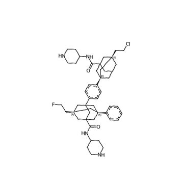 O=C(NC1CCNCC1)C12CC3C[C@@](CCCl)(C1)C[C@](c1ccc(C45CC6(C(=O)NC7CCNCC7)C[C@](CCF)(C4)C[C@@](c4ccccc4)(C6)C5)cc1)(C3)C2